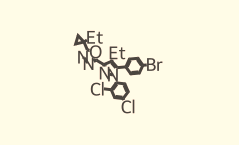 CCc1c(-c2nnc(C3(CC)CC3)o2)nn(-c2ccc(Cl)cc2Cl)c1-c1ccc(Br)cc1